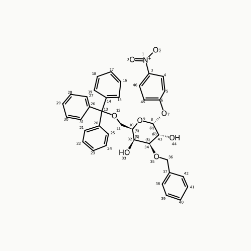 O=[N+]([O-])c1ccc(O[C@H]2O[C@H](COC(c3ccccc3)(c3ccccc3)c3ccccc3)[C@H](O)[C@H](OCc3ccccc3)[C@H]2O)cc1